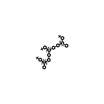 CC(C)(C)c1ccc(-c2nc(-c3ccccc3)nc(-c3cccc(-c4ccc(-c5cc(-c6ccc(-c7ccc(-c8nc(-c9ccccc9)cc(-c9cccc(C(C)(C)C)c9)n8)cc7)cc6)nc(-c6cccc(C(C)(C)C)c6)n5)cc4)c3)n2)cc1